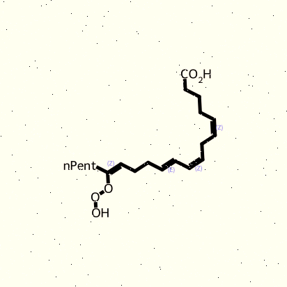 CCCCC/C(=C/CC/C=C/C=C\C/C=C\CCCC(=O)O)OOO